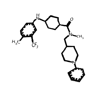 Cc1ccc(NC2CCC(C(=O)N(C)CC3CCN(c4ccccc4)CC3)CC2)cc1C(F)(F)F